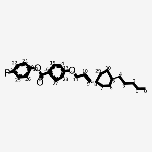 CCCCC[C@H]1CC[C@H](C=CCOc2ccc(C(=O)Oc3ccc(F)cc3)cc2)CC1